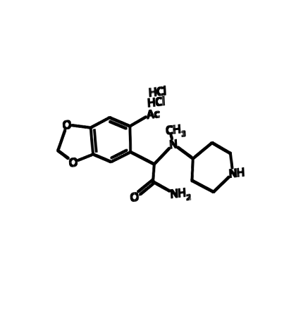 CC(=O)c1cc2c(cc1C(C(N)=O)N(C)C1CCNCC1)OCO2.Cl.Cl